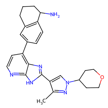 Cc1nn(C2CCOCC2)cc1-c1nc2c(-c3ccc4c(c3)CCCC4N)ccnc2[nH]1